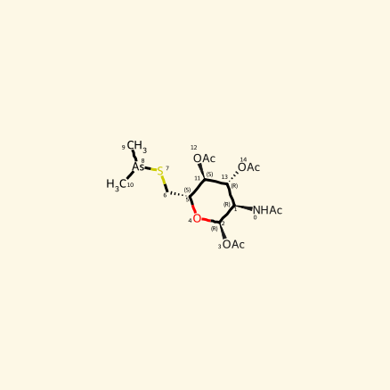 CC(=O)N[C@H]1[C@@H](OC(C)=O)O[C@H](CS[As](C)C)[C@@H](OC(C)=O)[C@@H]1OC(C)=O